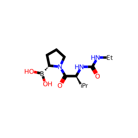 CCNC(=O)N[C@H](C(=O)N1CCC[C@H]1B(O)O)C(C)C